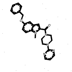 Cn1c(C(=O)N2CCN(c3ncccn3)CC2)cc2cc(OCc3ccccc3)ccc21